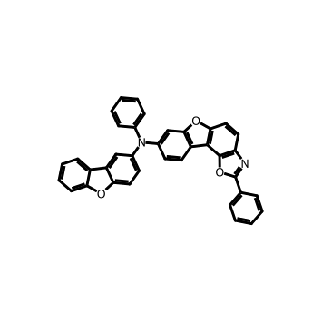 c1ccc(-c2nc3ccc4oc5cc(N(c6ccccc6)c6ccc7oc8ccccc8c7c6)ccc5c4c3o2)cc1